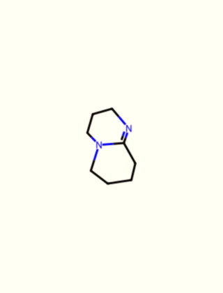 C1CCN2CCCN=C2C1